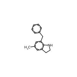 Cc1cc2c(c(Cc3ccccc3)c1)NCC2